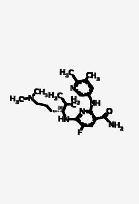 Cc1cc(Nc2nc(N[C@H](CCCN(C)C)C(C)C)c(F)cc2C(N)=O)cnc1C